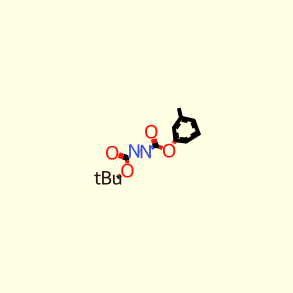 Cc1cccc(OC(=O)N=NC(=O)OC(C)(C)C)c1